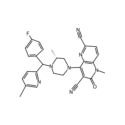 Cc1ccc(C(c2ccc(F)cc2)N2CCN(c3c(C#N)c(=O)n(C)c4ccc(C#N)nc34)C[C@H]2C)nc1